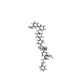 O=C(NS(=O)(=O)c1ccc(NCCSc2ccccc2)c([N+](=O)[O-])c1)c1ccc(N2CCN(Cc3ccccc3-c3cccc(O)c3)CC2)cc1